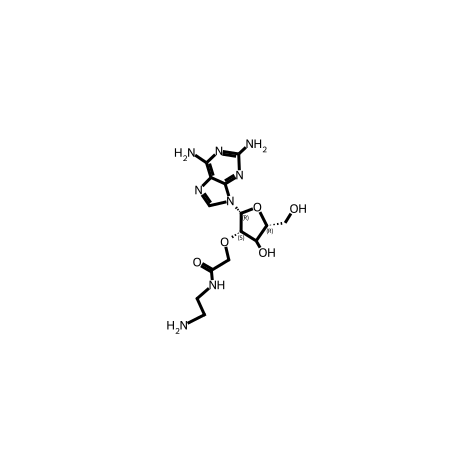 NCCNC(=O)CO[C@H]1C(O)[C@@H](CO)O[C@H]1n1cnc2c(N)nc(N)nc21